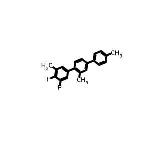 Cc1ccc(-c2ccc(-c3cc(C)c(F)c(F)c3)c(C)c2)cc1